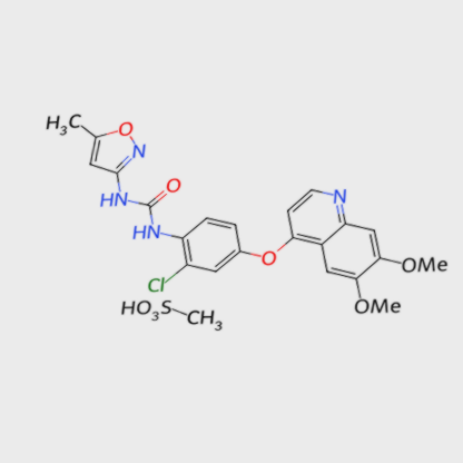 COc1cc2nccc(Oc3ccc(NC(=O)Nc4cc(C)on4)c(Cl)c3)c2cc1OC.CS(=O)(=O)O